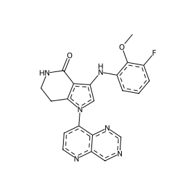 COc1c(F)cccc1Nc1cn(-c2ccnc3cncnc23)c2c1C(=O)NCC2